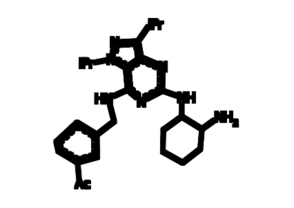 CC(=O)c1cccc(CNc2nc(NC3CCCCC3N)nc3c(C(C)C)nn(C(C)C)c23)c1